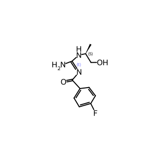 C[C@@H](CO)N/C(N)=N/C(=O)c1ccc(F)cc1